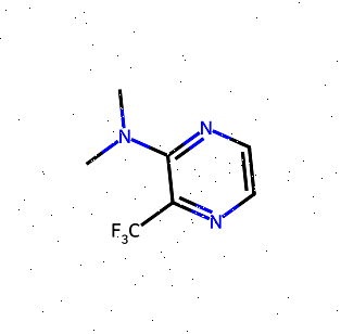 CN(C)c1nccnc1C(F)(F)F